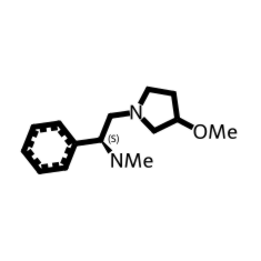 CN[C@H](CN1CCC(OC)C1)c1ccccc1